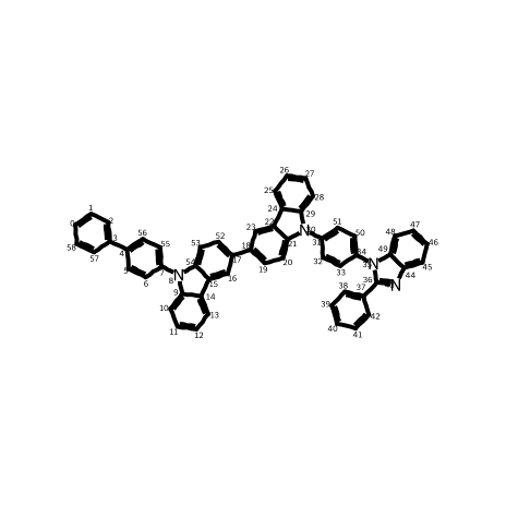 c1ccc(-c2ccc(-n3c4ccccc4c4cc(-c5ccc6c(c5)c5ccccc5n6-c5ccc(-n6c(-c7ccccc7)nc7ccccc76)cc5)ccc43)cc2)cc1